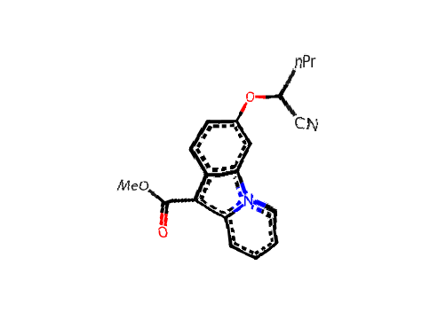 CCCC(C#N)Oc1ccc2c(C(=O)OC)c3ccccn3c2c1